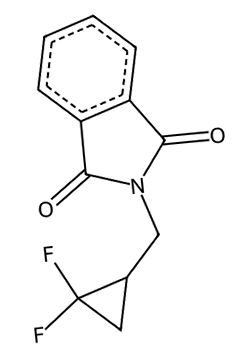 O=C1c2ccccc2C(=O)N1CC1CC1(F)F